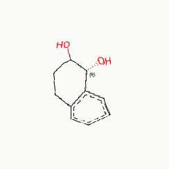 OC1CCc2ccccc2[C@H]1O